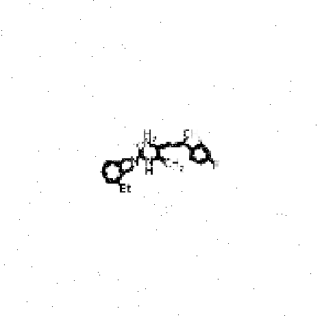 C=C(NC(=O)N1Cc2cccc(CC)c2C1)/C(N)=C\C=C(/C)c1ccc(F)cc1